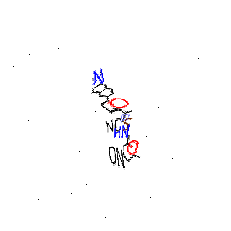 C/C(=C(/C#N)SNCC1CC(N=O)CC(C)O1)c1ccc(-c2ccc3cc(N(C)C)ccc3c2)o1